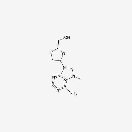 CN1CN(C2CC[C@@H](CO)O2)c2ncnc(N)c21